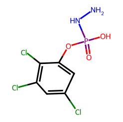 NNP(=O)(O)Oc1cc(Cl)cc(Cl)c1Cl